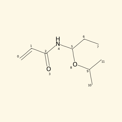 C=CC(=O)NC(CC)OC(C)C